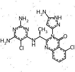 C[C@H](Nc1nc(N)nc(N)c1Cl)c1nc2cccc(Cl)c2c(=O)n1-c1cc(N)[nH]n1